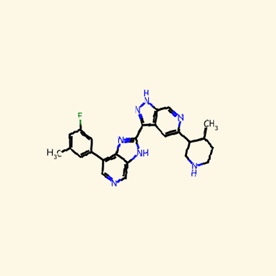 Cc1cc(F)cc(-c2cncc3[nH]c(-c4n[nH]c5cnc(C6CNCCC6C)cc45)nc23)c1